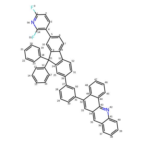 Fc1ccc(-c2ccc3c(c2)C(c2ccccc2)(c2ccccc2)c2cc(-c4cccc(-c5cc6cc7ccccc7nc6c6ccccc56)c4)ccc2-3)c(F)n1